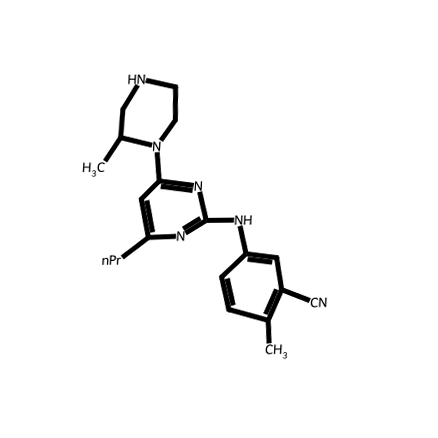 CCCc1cc(N2CCNCC2C)nc(Nc2ccc(C)c(C#N)c2)n1